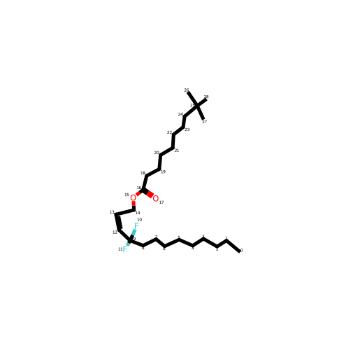 CCCCCCCCCC(F)(F)/C=C\COC(=O)CCCCCCCC(C)(C)C